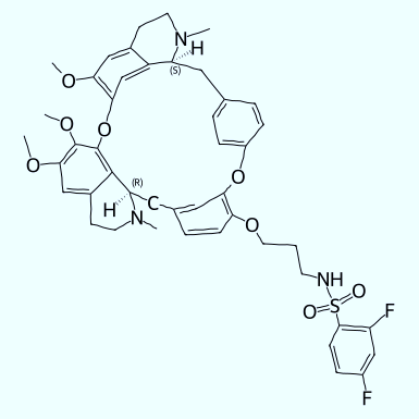 COc1cc2c3cc1Oc1c(OC)c(OC)cc4c1[C@@H](Cc1ccc(OCCCNS(=O)(=O)c5ccc(F)cc5F)c(c1)Oc1ccc(cc1)C[C@@H]3N(C)CC2)N(C)CC4